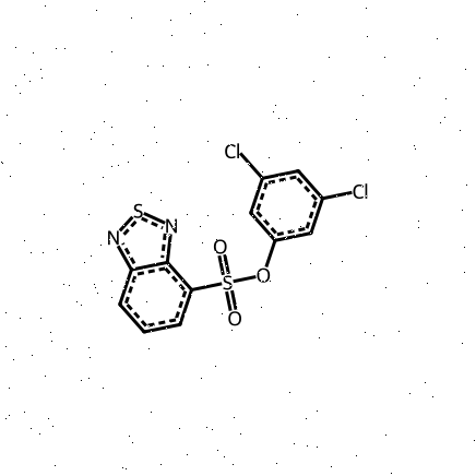 O=S(=O)(Oc1cc(Cl)cc(Cl)c1)c1cccc2nsnc12